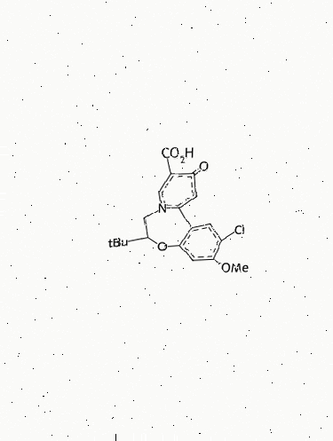 COc1cc2c(cc1Cl)-c1cc(=O)c(C(=O)O)cn1CC(C(C)(C)C)O2